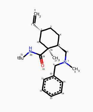 C=C[C@@H]1CC[C@@H](CN(C)Cc2ccccc2)[C@@](C)(C(=O)NC(C)(C)C)C1